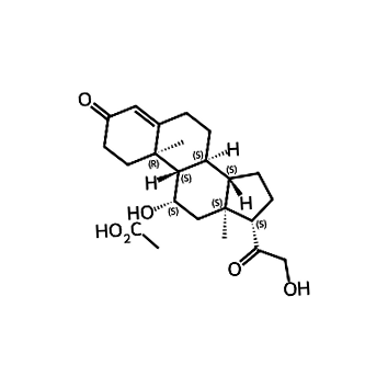 CC(=O)O.C[C@]12C[C@H](O)[C@H]3[C@@H](CCC4=CC(=O)CC[C@@]43C)[C@@H]1CC[C@@H]2C(=O)CO